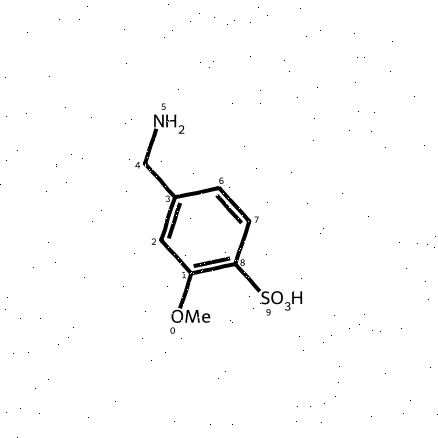 COc1cc(CN)ccc1S(=O)(=O)O